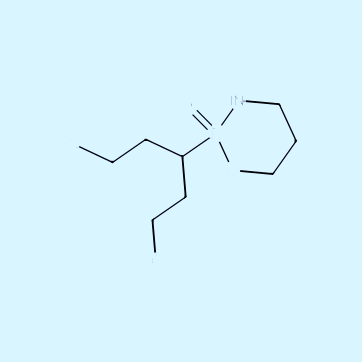 O=P1(C(CCCl)CCCl)NCCCO1